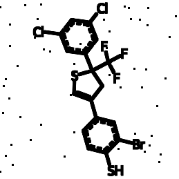 FC(F)(F)C1(c2cc(Cl)cc(Cl)c2)CC(c2ccc(S)c(Br)c2)=CS1